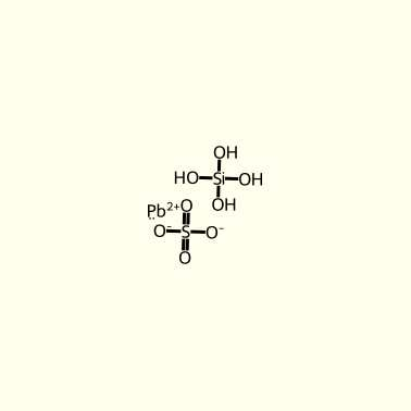 O=S(=O)([O-])[O-].O[Si](O)(O)O.[Pb+2]